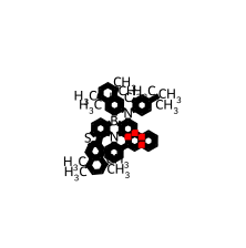 Cc1cc(C(C)(C)C)ccc1N1c2cc3c(cc2B2c4ccc5sc6cc7c(cc6c5c4N(c4ccccc4-c4ccccc4)c4cc(-c5ccccc5)cc1c42)C(C)(C)CCC7(C)C)C(C)(C)CCC3(C)C